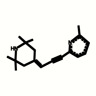 Cc1cccc(C#CC=C2CC(C)(C)NC(C)(C)C2)n1